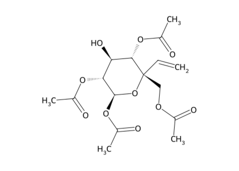 C=C[C@]1(COC(C)=O)O[C@@H](OC(C)=O)[C@H](OC(C)=O)[C@@H](O)[C@@H]1OC(C)=O